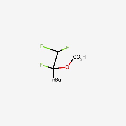 CCCCC(F)(OC(=O)O)C(F)F